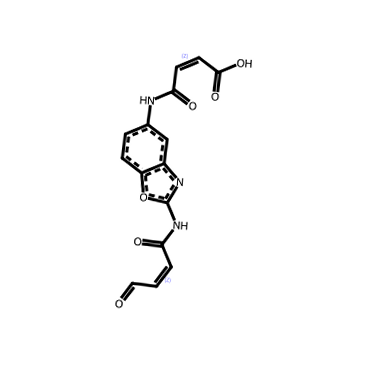 O=C/C=C\C(=O)Nc1nc2cc(NC(=O)/C=C\C(=O)O)ccc2o1